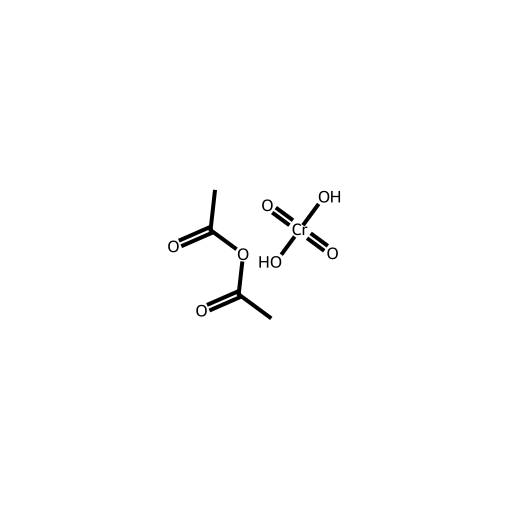 CC(=O)OC(C)=O.[O]=[Cr](=[O])([OH])[OH]